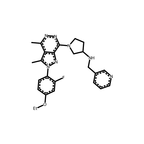 CCOc1ccc(-n2nc3c(N4CCC(NCc5cccnc5)C4)nnc(C)c3c2C)c(F)c1